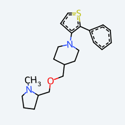 CN1CCCC1COCC1CCN(c2ccsc2-c2ccccc2)CC1